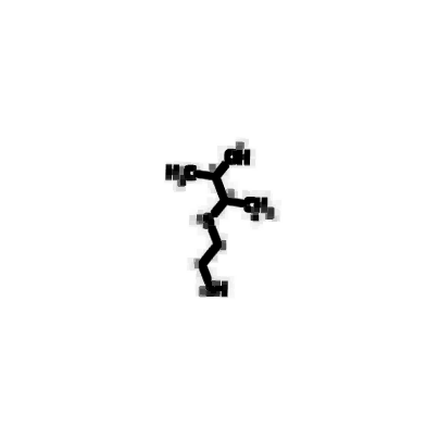 CC(O)C(C)SCCS